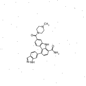 CN1CCN(C(=O)c2ccc3c(c2)[nH]c2c(C(N)=O)ccc(-c4ccc5cn[nH]c5c4)c23)CC1